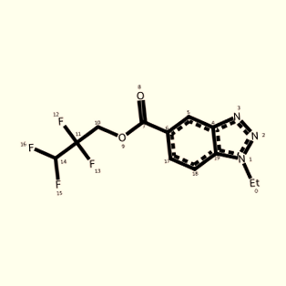 CCn1nnc2cc(C(=O)OCC(F)(F)C(F)F)ccc21